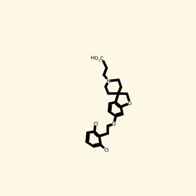 O=C(O)CCN1CCC2(CC1)COc1cc(OCCc3c(Cl)cccc3Cl)ccc12